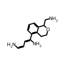 N/C=C\C=C(/N)c1cccc2c1CCOC2CN